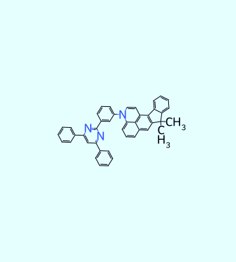 CC1(C)c2ccccc2-c2c1cc1cccc3c1c2C=CN3c1cccc(-c2nc(-c3ccccc3)cc(-c3ccccc3)n2)c1